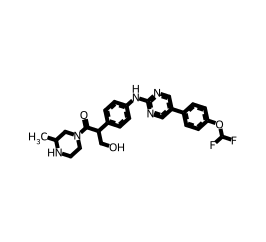 CC1CN(C(=O)C(CO)c2ccc(Nc3ncc(-c4ccc(OC(F)F)cc4)cn3)cc2)CCN1